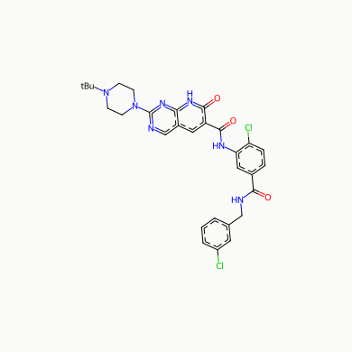 CC(C)(C)N1CCN(c2ncc3cc(C(=O)Nc4cc(C(=O)NCc5cccc(Cl)c5)ccc4Cl)c(=O)[nH]c3n2)CC1